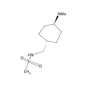 CN[C@H]1CC[C@H](CNS(C)(=O)=O)CC1